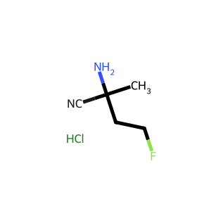 CC(N)(C#N)CCF.Cl